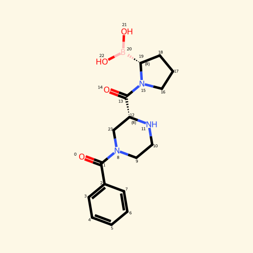 O=C(c1ccccc1)N1CCN[C@@H](C(=O)N2CCC[C@H]2B(O)O)C1